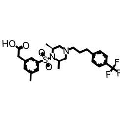 Cc1cc(CC(=O)O)cc(S(=O)(=O)N2C(C)CN(CCCc3ccc(C(F)(F)F)cc3)C[C@@H]2C)c1